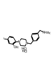 CC(=O)NCc1ccc(CN2CCN(c3ccc(F)cc3O)CC2)cc1.Cl.Cl